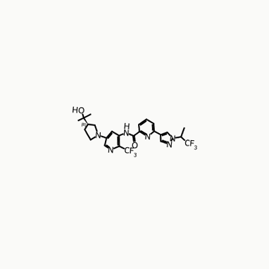 CC(n1cc(-c2cccc(C(=O)Nc3cc(N4CC[C@@H](C(C)(C)O)C4)cnc3C(F)(F)F)n2)cn1)C(F)(F)F